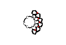 c1ccc(P2CCCCCCCCP(c3ccccc3)P(c3ccccc3)P(c3ccccc3)P(c3ccccc3)P2c2ccccc2)cc1